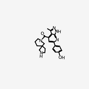 Cc1n[nH]c2nc(-c3ccc(O)cc3)cc(C(=O)N3CCCC4(CCNC4)C3)c12